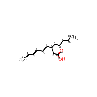 C=CC=CCCC(CCCCC)CC(=O)O